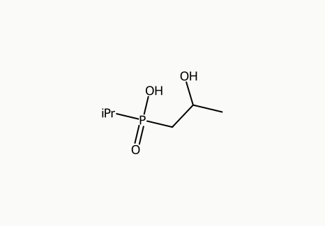 CC(O)CP(=O)(O)C(C)C